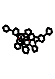 c1ccc(-c2ccc3c(c2)c2ccc(-c4ccccc4)cc2n3-c2ccccc2-c2nc(-c3ccccc3)nc(-c3ccccc3-n3c4ccc(-c5ccccc5)cc4c4ccc(-c5ccccc5)cc43)n2)cc1